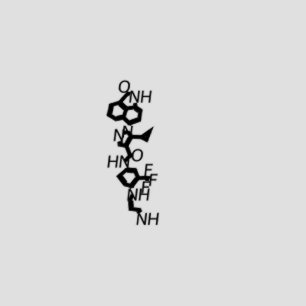 N=C/C=C\Nc1ccc(NC(=O)c2cnn(-c3ccc4c5c(cccc35)C(=O)N4)c2C2CC2)cc1C(F)(F)F